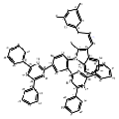 Cc1cc(C)cc(C/C=C\c2c(C)n(-c3ccc(-c4nc(-c5ccccc5)nc(-c5ccccc5)n4)cc3-c3nc(-c4ccccc4)nc(-c4ccccc4)n3)c3ccccc23)c1